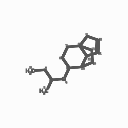 CCC(C)OC1CCC23CC=CC2C1CC3